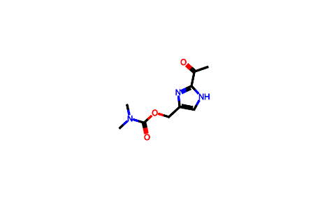 CC(=O)c1nc(COC(=O)N(C)C)c[nH]1